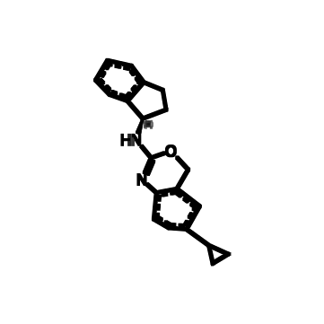 c1ccc2c(c1)CC[C@H]2NC1=Nc2ccc(C3CC3)cc2CO1